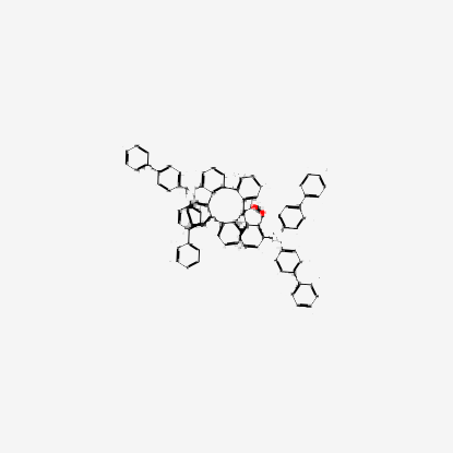 c1ccc(-c2ccc(N(c3ccc(-c4ccccc4)cc3)c3cccc4c3-c3ccccc3-c3ccccc3C3(c5ccccc5-4)c4ccccc4-c4c(N(c5ccc(-c6ccccc6)cc5)c5ccc(-c6ccccc6)cc5)cccc43)cc2)cc1